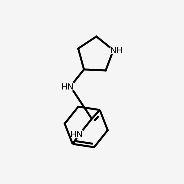 C1=C2CCC(=C(NC3CCNC3)N2)C1